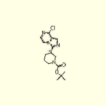 CC(C)(C)OC(=O)N1CCC[C@@H](c2ncc3c(Cl)nccn23)C1